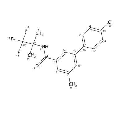 Cc1cc(C(=O)NC(C)(C)C(F)(F)F)cc(-c2ccc(Cl)cc2)c1